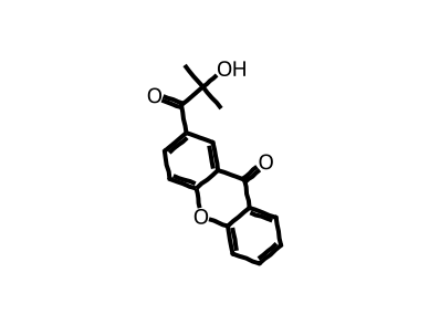 CC(C)(O)C(=O)c1ccc2oc3ccccc3c(=O)c2c1